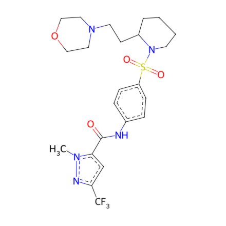 Cn1nc(C(F)(F)F)cc1C(=O)Nc1ccc(S(=O)(=O)N2CCCCC2CCN2CCOCC2)cc1